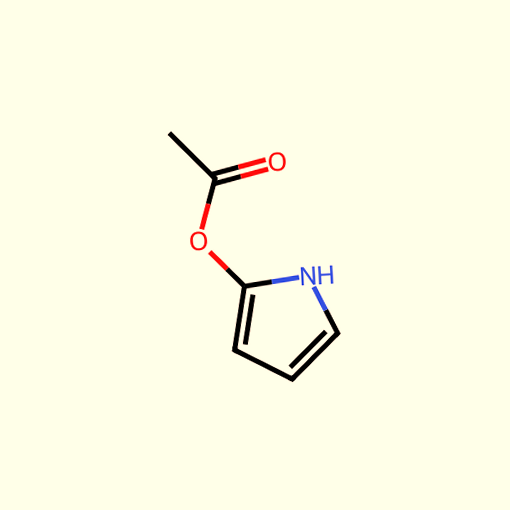 CC(=O)Oc1ccc[nH]1